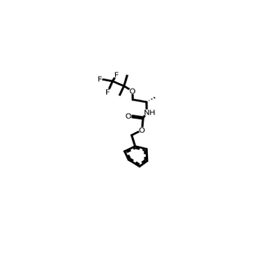 C[C@@H](COC(C)(C)C(F)(F)F)NC(=O)OCc1ccccc1